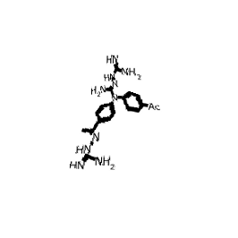 CC(=O)c1ccc(N(C(N)=NNC(=N)N)c2ccc(C(C)=NNC(=N)N)cc2)cc1